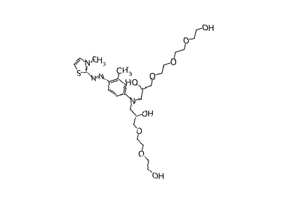 Cc1cc(N(CC(O)COCCOCCO)CC(O)COCCOCCOCCO)ccc1/N=N/c1scc[n+]1C